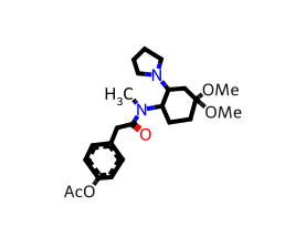 COC1(OC)CCC(N(C)C(=O)Cc2ccc(OC(C)=O)cc2)C(N2CCCC2)C1